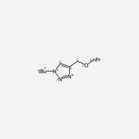 CCCOCc1cn(C(C)(C)C)nn1